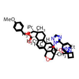 CCNC1(CO[C@H]2[C@H](n3ncnc3-c3ccncc3)C[C@@]34COC[C@@]2(C)[C@@H]3CC[C@H]2C4=CC[C@@]3(C)[C@H](C(=O)OCc4ccc(OC)cc4)[C@@](C)([C@H](C)C(C)C)CC[C@]23C)CCC1